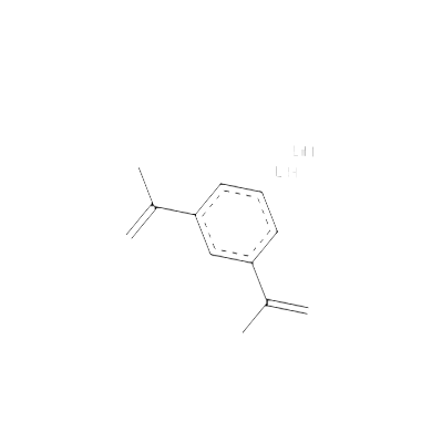 C=C(C)c1cccc(C(=C)C)c1.[LiH].[LiH]